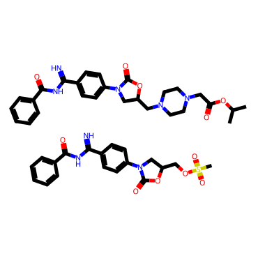 CC(C)OC(=O)CN1CCN(CC2CN(c3ccc(C(=N)NC(=O)c4ccccc4)cc3)C(=O)O2)CC1.CS(=O)(=O)OCC1CN(c2ccc(C(=N)NC(=O)c3ccccc3)cc2)C(=O)O1